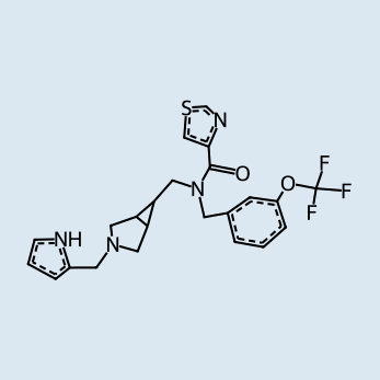 O=C(c1cscn1)N(Cc1cccc(OC(F)(F)F)c1)CC1C2CN(Cc3ccc[nH]3)CC21